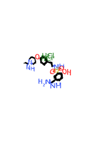 CC(=N)N1CCC(Oc2ccc(CCNS(=O)(=O)c3cc(C(=N)N)ccc3O)cc2)CC1.Cl.Cl